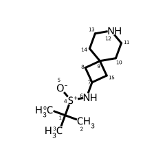 CC(C)(C)[S+]([O-])NC1CC2(CCNCC2)C1